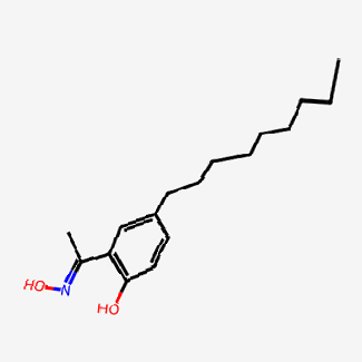 CCCCCCCCCc1ccc(O)c(C(C)=NO)c1